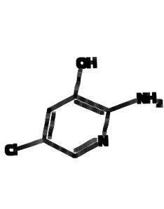 Nc1ncc(Cl)cc1O